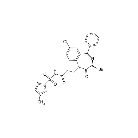 CC[C@H](C)[C@@H]1N=C(c2ccccc2)c2cc(Cl)ccc2N(CCC(=O)NS(=O)(=O)c2cn(C)cn2)C1=O